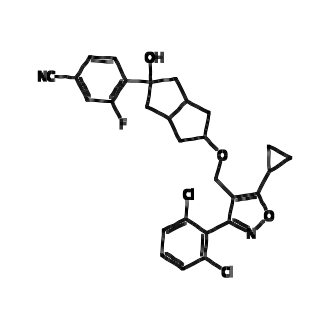 N#Cc1ccc(C2(O)CC3CC(OCc4c(-c5c(Cl)cccc5Cl)noc4C4CC4)CC3C2)c(F)c1